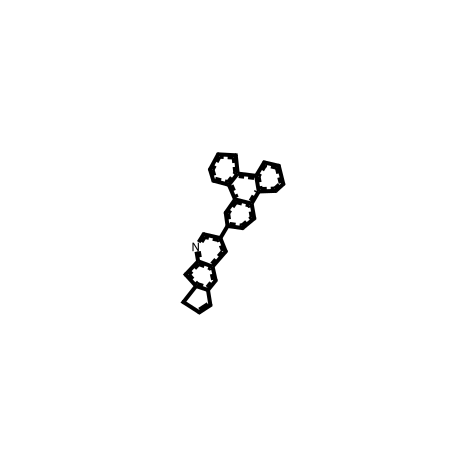 C1=Cc2cc3cc(-c4ccc5c6ccccc6c6ccccc6c5c4)cnc3cc2C1